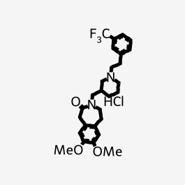 COc1cc2c(cc1OC)CC(=O)N(CC1CCCN(CCc3cccc(C(F)(F)F)c3)C1)CC2.Cl